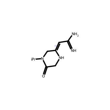 CC(C)N1C/C(=C/C(=N)N)NCC1=O